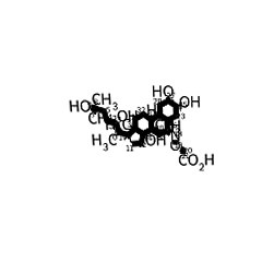 C[C@H](C(O)CCC(C)(C)O)[C@H]1CC[C@@]2(O)C3=CC(=NOCC(=O)O)[C@@H]4C[C@@H](O)[C@@H](O)C[C@]4(C)[C@H]3CC[C@]12C